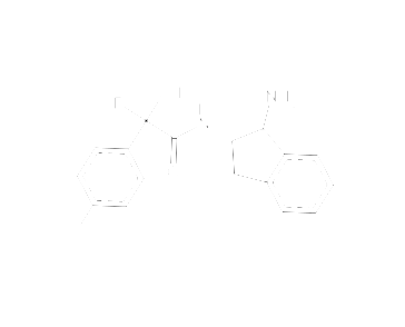 CC(F)(C(=O)N[C@H]1Cc2ccccc2C1N)c1ccc(F)cc1